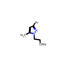 COCCn1nc(C(C)C)cc1C